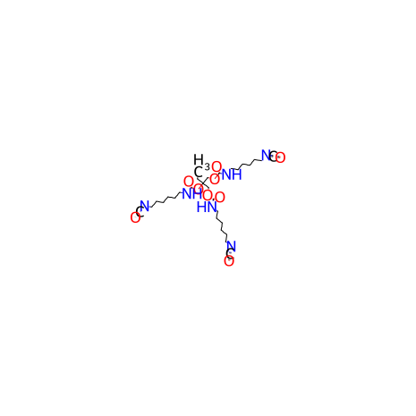 CCC(COC(=O)NCCCCCCN=C=O)(COC(=O)NCCCCCCN=C=O)OC(=O)NCCCCCCN=C=O